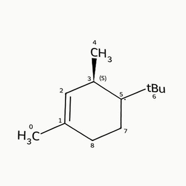 CC1=C[C@@H](C)[C](C(C)(C)C)CC1